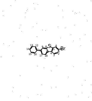 Brc1ccc2c(c1)sc1cc(-c3ccccc3)ccc12